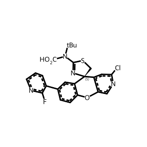 CC(C)(C)N(C(=O)O)C1=N[C@@]2(CS1)c1cc(-c3cccnc3F)ccc1Oc1cnc(Cl)cc12